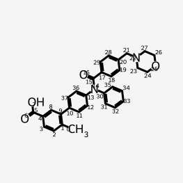 Cc1ccc(C(=O)O)cc1-c1ccc(N(C(=O)c2ccc(CN3CCOCC3)cc2)c2ccccc2)cc1